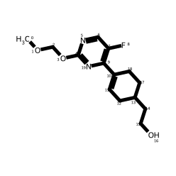 COCOc1ncc(F)c(C2=CCC(CCO)CC2)n1